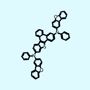 c1ccc(N(c2ccc3c(c2)sc2c4ccc(N(c5ccccc5)c5ccc6oc7ccccc7c6c5)cc4c4ccccc4c32)c2ccc3oc4ccccc4c3c2)cc1